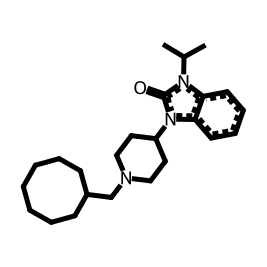 CC(C)n1c(=O)n(C2CCN(CC3CCCCCCC3)CC2)c2ccccc21